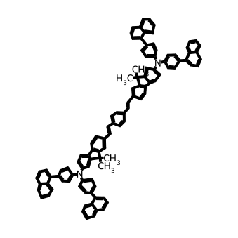 CC1(C)c2cc(/C=C/c3ccc(/C=C/c4ccc5c(c4)C(C)(C)c4cc(N(c6ccc(-c7cccc8ccccc78)cc6)c6ccc(-c7cccc8ccccc78)cc6)ccc4-5)cc3)ccc2-c2ccc(N(c3ccc(-c4cccc5ccccc45)cc3)c3ccc(-c4cccc5ccccc45)cc3)cc21